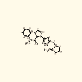 CC(C)N1C(=O)C2C(c3nc(CC4CCCN4C)no3)N=CN2c2ccccc21